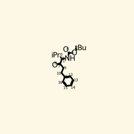 CC(C)[C@@H](NC(=O)OC(C)(C)C)C(=O)CCc1ccccc1